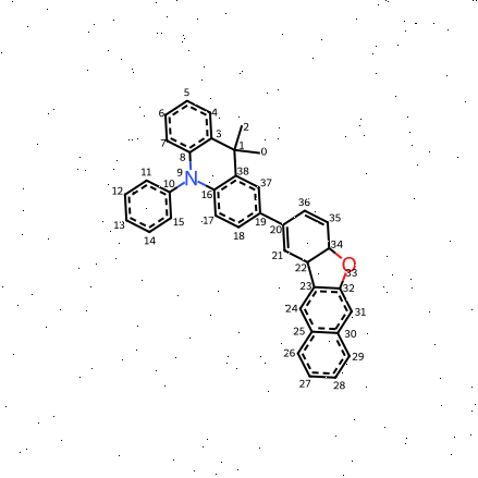 CC1(C)c2ccccc2N(c2ccccc2)c2ccc(C3=CC4c5cc6ccccc6cc5OC4C=C3)cc21